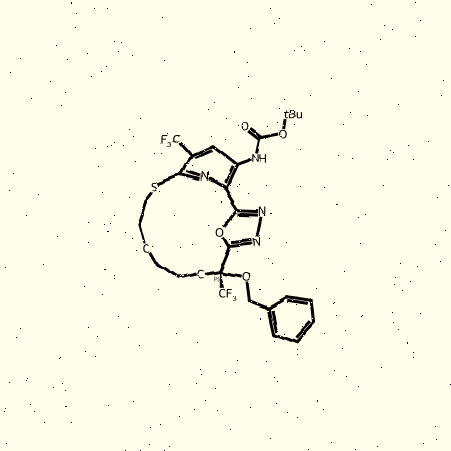 CC(C)(C)OC(=O)Nc1cc(C(F)(F)F)c2nc1-c1nnc(o1)[C@@](OCc1ccccc1)(C(F)(F)F)CCCCCCS2